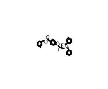 O=C(OCc1ccccc1)c1ccc(OCC(F)(F)CN(Cc2ccccc2)Cc2ccccc2)cc1